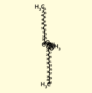 CCCCCCCCCCCCCCCCCC(=O)ON(CC)OC(=O)CCCCCCCCCCCCCCCCC.Cl